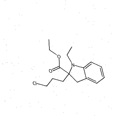 CCOC(=O)C1(CCCCl)Cc2ccccc2N1CC